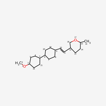 COC1CCC(C2CCC(/C=C/C3CCC(C)OC3)CC2)CC1